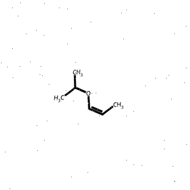 C/C=C\OC(C)C